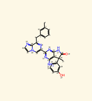 Cc1cccc(Cc2nc(-c3nc(N)c4c(n3)NC(=O)C4(C)c3cccc(O)c3)cn3ccnc23)c1